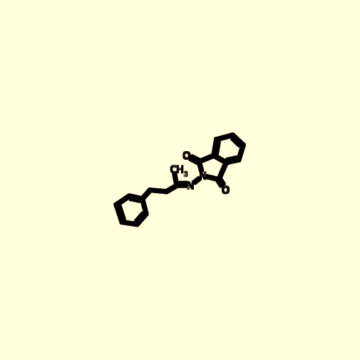 C/C(CCc1ccccc1)=N\N1C(=O)c2ccccc2C1=O